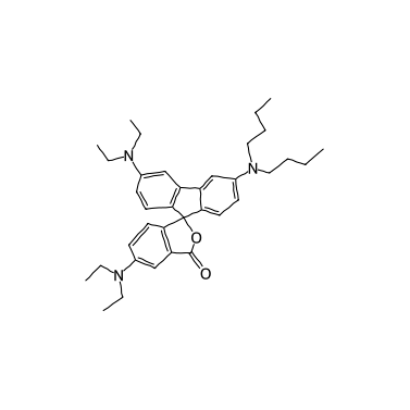 CCCCN(CCCC)c1ccc2c(c1)-c1cc(N(CC)CC)ccc1C21OC(=O)c2cc(N(CC)CC)ccc21